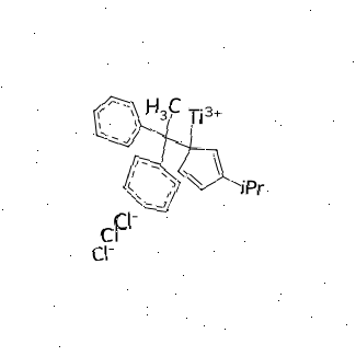 CC(C)C1=C[C]([Ti+3])(C(C)(c2ccccc2)c2ccccc2)C=C1.[Cl-].[Cl-].[Cl-]